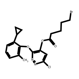 Cc1cccc(C2CC2)c1Oc1nnc(Cl)cc1OC(=O)CCCCBr